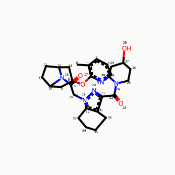 Cc1cccnc1OC1CC2CCC(C1)N2C(=O)Cn1nc(C(=O)N2CCC(O)CC2)c2c1CCCC2